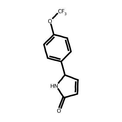 O=C1C=CC(c2ccc(OC(F)(F)F)cc2)N1